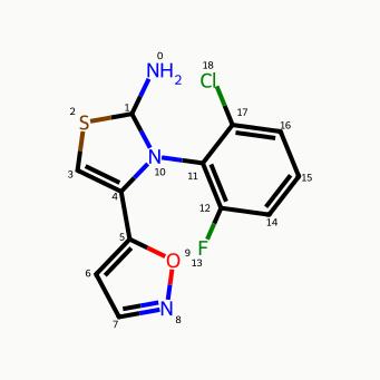 NC1SC=C(c2ccno2)N1c1c(F)cccc1Cl